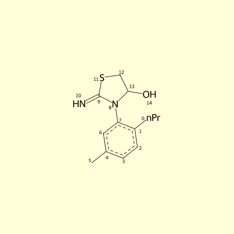 CCCc1ccc(C)cc1N1C(=N)SCC1O